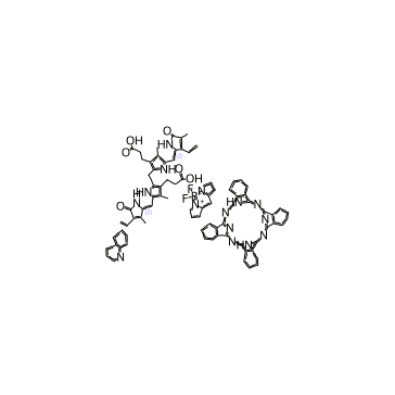 C=CC1=C(C)/C(=C/c2[nH]c(Cc3[nH]c(/C=C4\NC(=O)C(C)=C4C=C)c(C)c3CCC(=O)O)c(CCC(=O)O)c2C)NC1=O.F[B-]1(F)n2cccc2C=C2C=CC=[N+]21.c1ccc2c(c1)-c1nc-2nc2[nH]c(nc3nc(nc4[nH]c(n1)c1ccccc41)-c1ccccc1-3)c1ccccc21.c1ccc2ncccc2c1